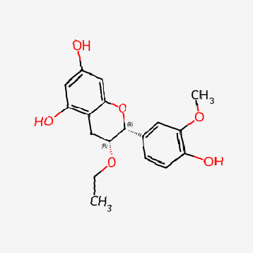 CCO[C@@H]1Cc2c(O)cc(O)cc2O[C@@H]1c1ccc(O)c(OC)c1